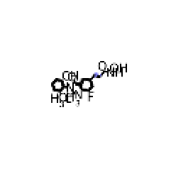 Cc1cccc(C)c1-n1c(C)nc2c(F)cc(/C=C/C(=O)NO)cc2c1=O